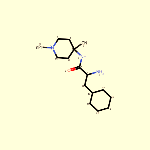 CCCN1CCC(C#N)(NC(=O)C(N)CC2CCCCC2)CC1